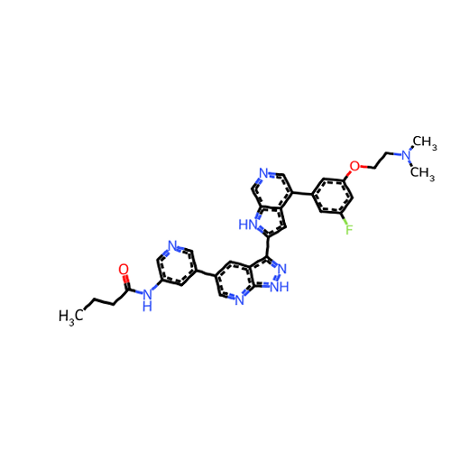 CCCC(=O)Nc1cncc(-c2cnc3[nH]nc(-c4cc5c(-c6cc(F)cc(OCCN(C)C)c6)cncc5[nH]4)c3c2)c1